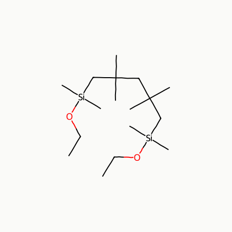 CCO[Si](C)(C)CC(C)(C)CC(C)(C)C[Si](C)(C)OCC